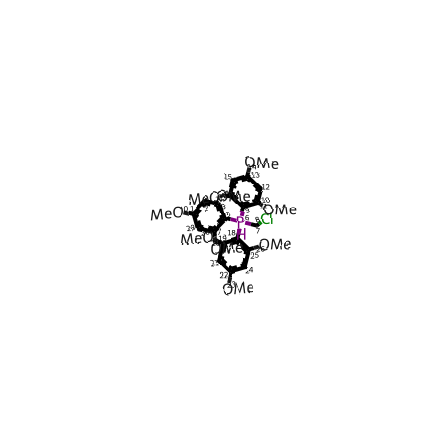 COc1cc(OC)c([PH](CCl)(c2c(OC)cc(OC)cc2OC)c2c(OC)cc(OC)cc2OC)c(OC)c1